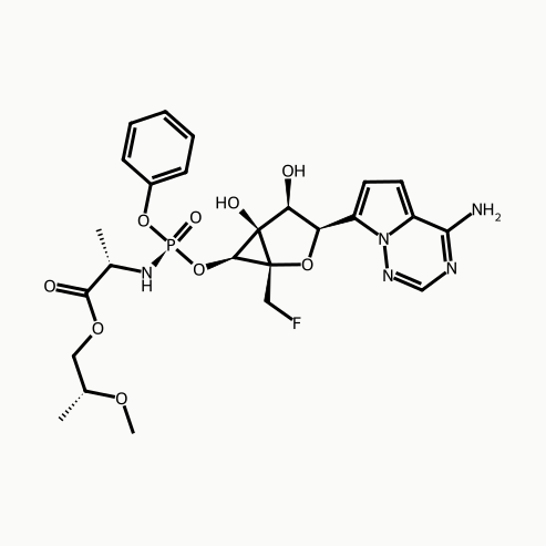 CO[C@H](C)COC(=O)[C@H](C)N[P@](=O)(Oc1ccccc1)O[C@H]1[C@]2(O)[C@@H](O)[C@@H](c3ccc4c(N)ncnn34)O[C@]12CF